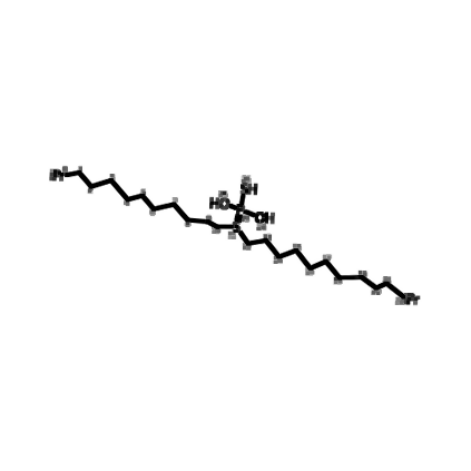 CC(C)CCCCCCCCCCS(CCCCCCCCCCC(C)C)=P(O)(O)S